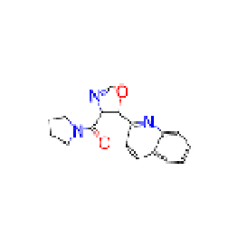 O=C(C1N=COC1c1ccc2ccccc2n1)N1CCCC1